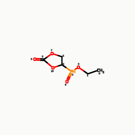 CCO[PH](=O)C1COC(=O)O1